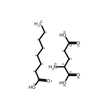 CCCCCCCC(=O)O.NC(CCC(=O)O)C(=O)O